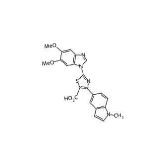 COc1cc2ncn(-c3nc(-c4ccc5c(ccn5C)c4)c(C(=O)O)s3)c2cc1OC